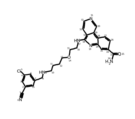 N#Cc1cc(Cl)cc(CNCCCCOCCNc2nc3cc(C(N)=O)ccc3c3cnccc23)c1